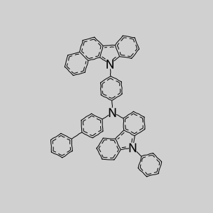 c1ccc(-c2ccc(N(c3ccc(-n4c5ccccc5c5ccc6ccccc6c54)cc3)c3cccc4c3c3ccccc3n4-c3ccccc3)cc2)cc1